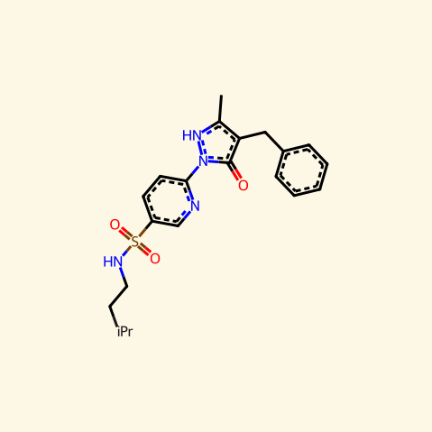 Cc1[nH]n(-c2ccc(S(=O)(=O)NCCC(C)C)cn2)c(=O)c1Cc1ccccc1